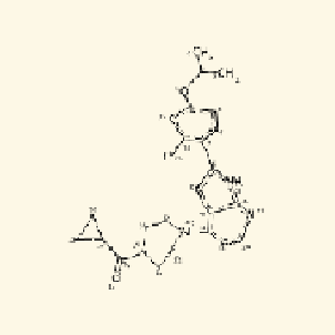 CC(C)Oc1ccc(-c2cc3c(N4CCN(C(=O)C5CC5)CC4)ccnc3[nH]2)c(Cl)c1